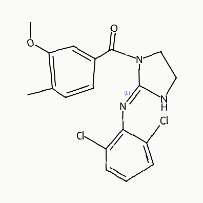 COc1cc(C(=O)N2CCN/C2=N\c2c(Cl)cccc2Cl)ccc1C